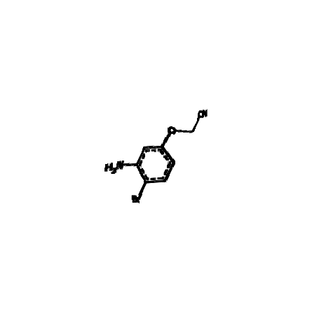 N#CCOc1ccc(Br)c(N)c1